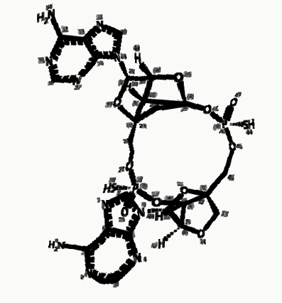 Nc1ncnc2c1ncn2[C@@H]1O[C@@]23CO[C@@H]1[C@@H]2O[P@](=O)(S)OC[C@@]12C[C@@]4(O[C@@H]([C@H](n5cnc6c(N)ncnc65)O1)[C@@H]24)O[P@](=O)(S)OC3